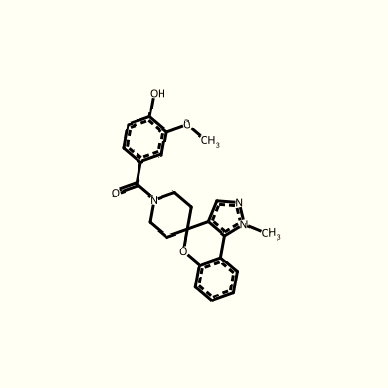 COc1cc(C(=O)N2CCC3(CC2)Oc2ccccc2-c2c3cnn2C)ccc1O